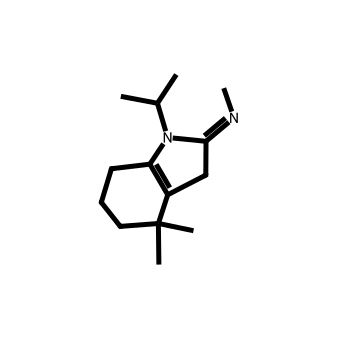 C/N=C1/CC2=C(CCCC2(C)C)N1C(C)C